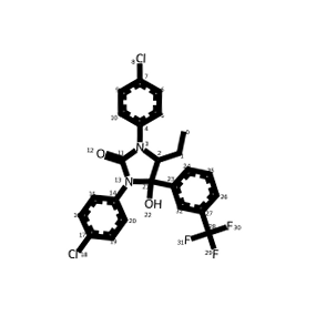 CCC1N(c2ccc(Cl)cc2)C(=O)N(c2ccc(Cl)cc2)C1(O)c1cccc(C(F)(F)F)c1